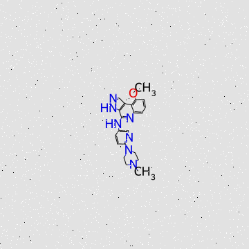 COc1cccc2nc(Nc3ccc(N4CCN(C)CC4)nc3)c3[nH]ncc3c12